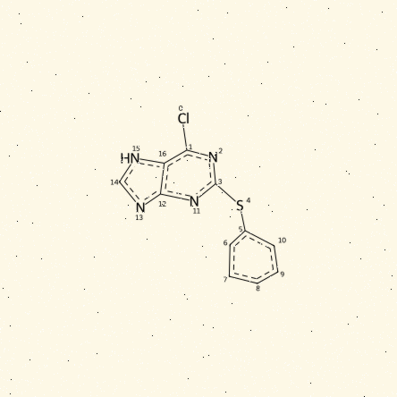 Clc1nc(Sc2ccccc2)nc2nc[nH]c12